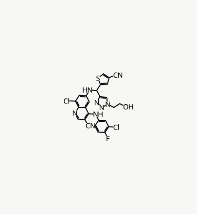 N#Cc1csc(C(Nc2cc(Cl)c3ncc(C#N)c(Nc4ccc(F)c(Cl)c4)c3c2)c2cn(CCO)nn2)c1